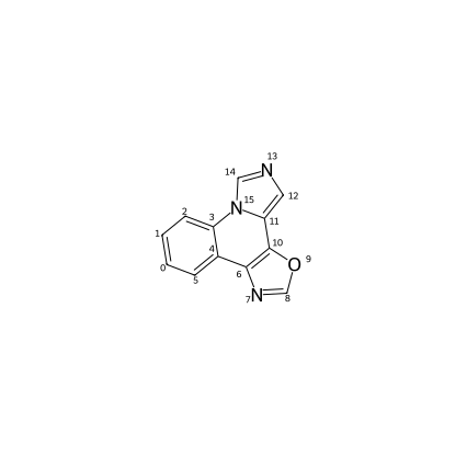 c1ccc2c(c1)c1ncoc1c1cncn21